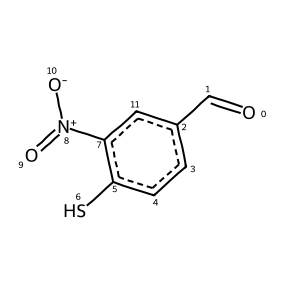 O=Cc1ccc(S)c([N+](=O)[O-])c1